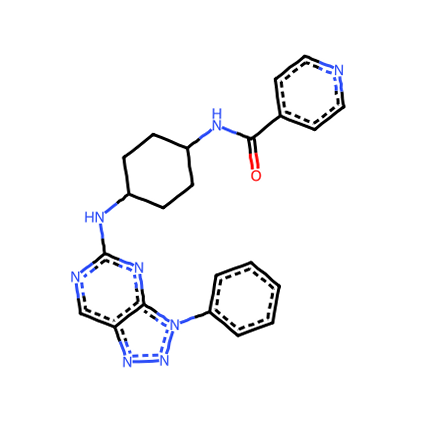 O=C(NC1CCC(Nc2ncc3nnn(-c4ccccc4)c3n2)CC1)c1ccncc1